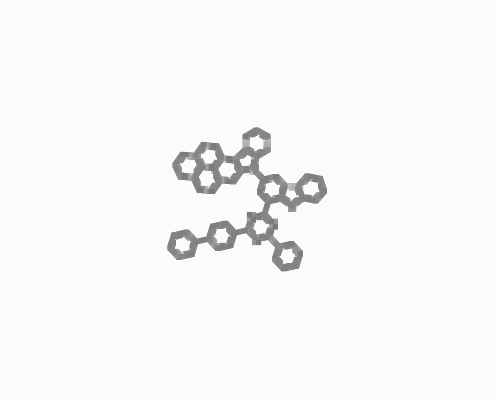 c1ccc(-c2ccc(-c3nc(-c4ccccc4)nc(-c4cc(-n5c6ccccc6c6c7ccc8cccc9ccc(cc65)c7c98)cc5c4sc4ccccc45)n3)cc2)cc1